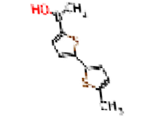 CB(O)c1ccc(-c2ccc(C)s2)s1